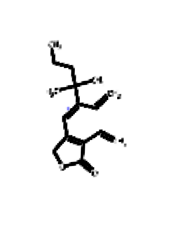 C=CC1=C(/C=C(\C=C)C(C)(C)CCC)COC1=O